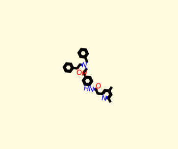 Cc1cc(C)nc(CC(=O)Nc2ccc(CCN(Cc3ccccc3)CC(O)c3ccccc3)cc2)c1